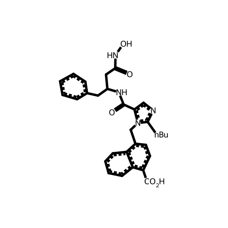 CCCCc1ncc(C(=O)NC(CC(=O)NO)Cc2ccccc2)n1Cc1ccc(C(=O)O)c2ccccc12